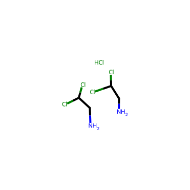 Cl.NCC(Cl)Cl.NCC(Cl)Cl